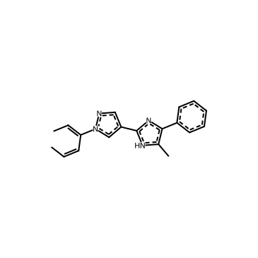 C/C=C\C(=C/C)n1cc(-c2nc(-c3ccccc3)c(C)[nH]2)cn1